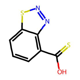 OC(=S)c1cccc2snnc12